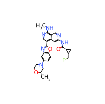 CNc1ncc(-c2nc3cc(N4CCO[C@@H](C)C4)ccc3o2)c2cc(NC(=O)[C@H]3C[C@H]3CF)ncc12